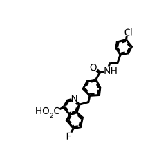 O=C(NCCc1ccc(Cl)cc1)c1ccc(Cc2ncc(C(=O)O)c3cc(F)ccc23)cc1